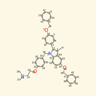 Cc1c(-c2ccc(OCc3ccccc3)cc2)n(Cc2ccc(OCCN(C)C)cc2)c2ccc(OCc3ccccc3)cc12